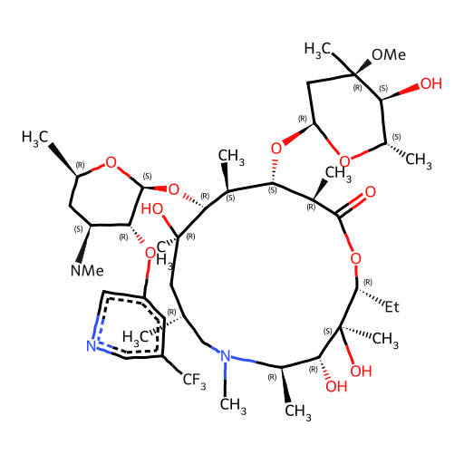 CC[C@H]1OC(=O)[C@H](C)[C@@H](O[C@H]2C[C@@](C)(OC)[C@@H](O)[C@H](C)O2)[C@H](C)[C@@H](O[C@@H]2O[C@H](C)C[C@H](NC)[C@H]2Oc2cncc(C(F)(F)F)c2)[C@](C)(O)C[C@@H](C)CN(C)[C@H](C)[C@@H](O)[C@]1(C)O